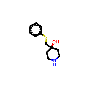 OC1(CSc2ccccc2)CCNCC1